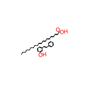 CCCCCCCCCC=CC=CC=CC=CC=CC(=O)O.Oc1cccc(C=Cc2ccccc2)c1